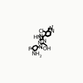 CN(c1nc2[nH]nc(-c3ccc4nn(C)cc4c3Cl)c2nc1CO)[C@@H]1CC[C@@H](F)[C@@H](N)C1